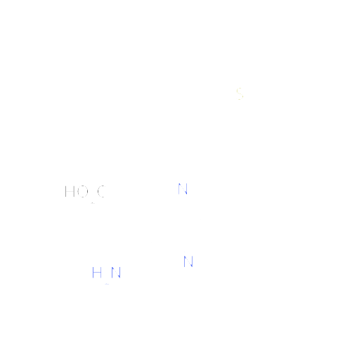 CC1(C)SCc2ccccc2C1n1cnc(N)c1C(=O)O